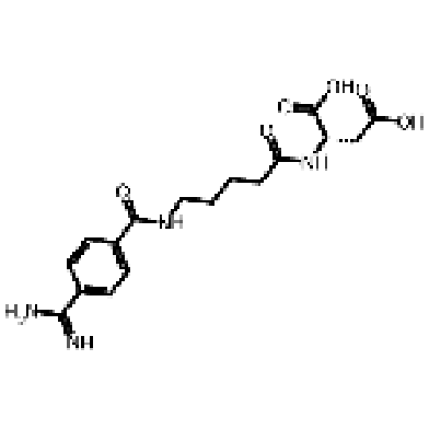 N=C(N)c1ccc(C(=O)NCCCCC(=O)N[C@@H](CC(=O)O)C(=O)O)cc1